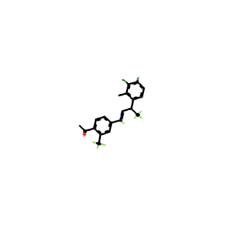 CC(=O)c1ccc(/C(F)=C/C(c2ccc(Cl)c(Cl)c2C)C(F)(F)F)cc1C(F)(F)F